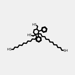 SCCCCCCCCCCCCC1(CS)CCC(CS)C(c2ccccc2)C1(CCCCCCCCCCCCS)c1ccccc1